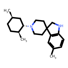 Cc1ccc2c(c1)C1(CCN([C@H]3C[C@H](C)CC[C@@H]3C)CC1)CN2